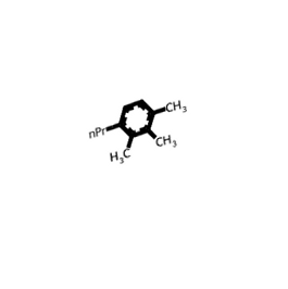 CCCc1ccc(C)c(C)c1C